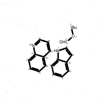 CC(C)(C)OC=O.c1ccc2[nH]ccc2c1.c1ccc2ncccc2c1